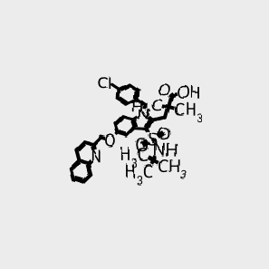 CC(C)(C)NS(=O)(=O)c1c(CC(C)(C)C(=O)O)n(Cc2ccc(Cl)cc2)c2ccc(OCc3ccc4ccccc4n3)cc12